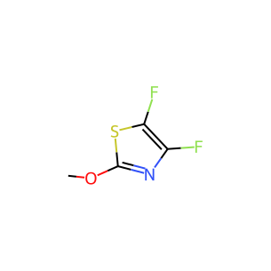 COc1nc(F)c(F)s1